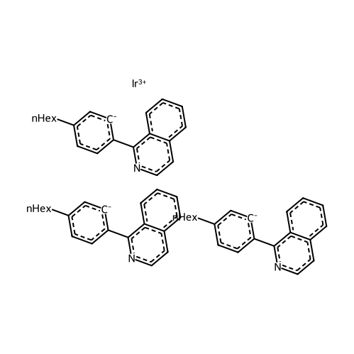 CCCCCCc1c[c-]c(-c2nccc3ccccc23)cc1.CCCCCCc1c[c-]c(-c2nccc3ccccc23)cc1.CCCCCCc1c[c-]c(-c2nccc3ccccc23)cc1.[Ir+3]